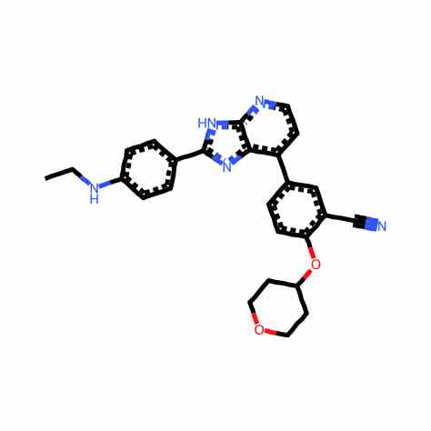 CCNc1ccc(-c2nc3c(-c4ccc(OC5CCOCC5)c(C#N)c4)ccnc3[nH]2)cc1